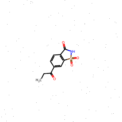 CCC(=O)c1ccc2c(c1)S(=O)(=O)NC2=O